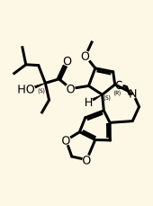 CC[C@](O)(CC(C)C)C(=O)OC1C(OC)=C[C@]23CCCN2CCc2cc4c(cc2[C@H]13)OCO4